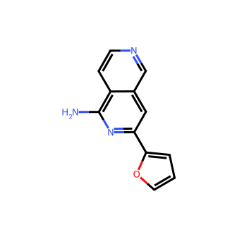 Nc1nc(-c2ccco2)cc2cnccc12